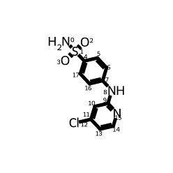 NS(=O)(=O)c1ccc(Nc2cc(Cl)ccn2)cc1